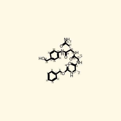 C[C@H](NC(=O)OCc1ccccc1)C(=O)N[C@@H](C)C(=O)N[C@@H](CC(N)=O)C(=O)Nc1ccc(CO)cc1